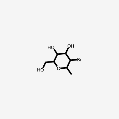 CC1OC(CO)C(O)C(O)C1Br